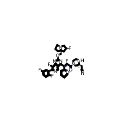 N#CC[C@H]1CN(C(=O)/C(F)=C(\c2ccccn2)c2nc(OC[C@@]34CCCN3C[C@H](F)C4)nc3c(F)c(-c4cc(F)ccc4F)ncc23)CCN1